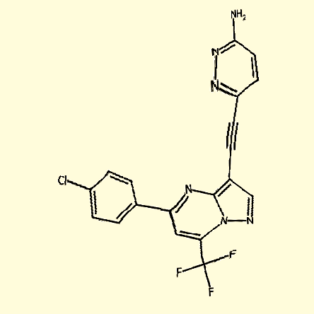 Nc1ccc(C#Cc2cnn3c(C(F)(F)F)cc(-c4ccc(Cl)cc4)nc23)nn1